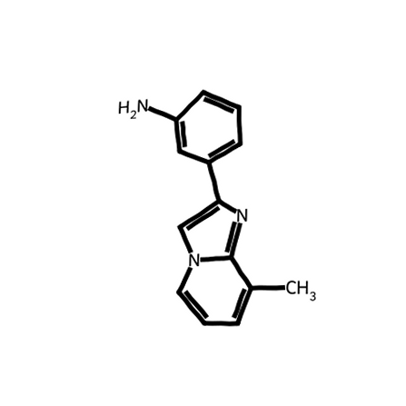 Cc1cccn2cc(-c3cccc(N)c3)nc12